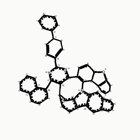 C1=CC2=C(CC1)OC1C=CC3=C(C21)n1c2cc(ccc2c2cc4ccccc4cc21)-c1c3nc(C2=CCC(c3ccccc3)C=C2)nc1-c1cccc2ccccc12